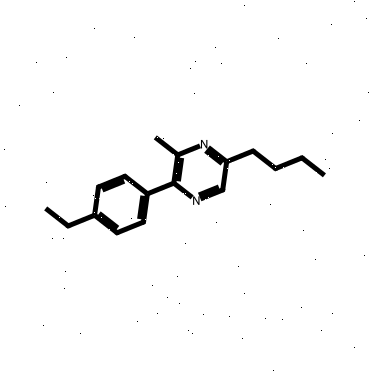 CCCCc1cnc(-c2ccc(CC)cc2)c(C)n1